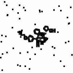 CN(C)CCOc1ccc(-c2[nH]c3ncnc(NC[C@@H]4CCC[C@@H]4O)c3c2-c2ccccc2)cc1